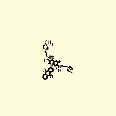 CN1CCN(CCCNC(=O)c2cn3c4cc5c(=O)c6ccccc6c(=O)c5cc4oc4c(NCCCN5CCOCC5)c(F)cc(c2=O)c43)CC1